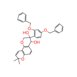 CC1(C)C=Cc2c(ccc3c2OCC(O)(c2ccc(OCc4ccccc4)cc2OCc2ccccc2)C3O)O1